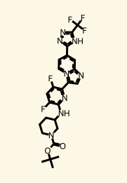 CC(C)(C)OC(=O)N1CCCC(Nc2nc(-c3cnc4cc(-c5nnc(C(F)(F)F)[nH]5)ccn34)c(F)cc2F)C1